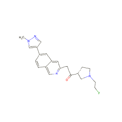 Cn1cc(-c2ccc3cnc(CC(=O)C4CCN(CCF)C4)cc3c2)cn1